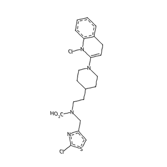 O=C(O)N(CCC1CCN(C2=CCc3ccccc3N2Cl)CC1)Cc1csc(Cl)n1